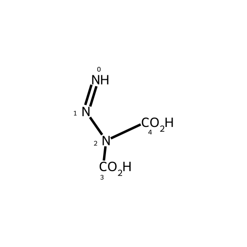 N=NN(C(=O)O)C(=O)O